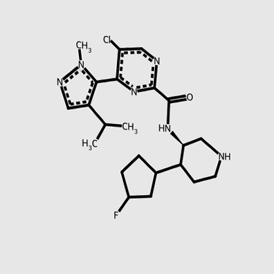 CC(C)c1cnn(C)c1-c1nc(C(=O)N[C@H]2CNCCC2C2CCC(F)C2)ncc1Cl